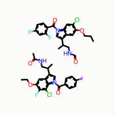 CCCOc1cc2c(C(C)CNC=O)cn(C(=O)c3ccc(F)cc3F)c2cc1Cl.CCOc1cc2c(C(C)CNC(C)=O)cn(C(=O)c3ccc(I)cc3)c2c(Cl)c1F